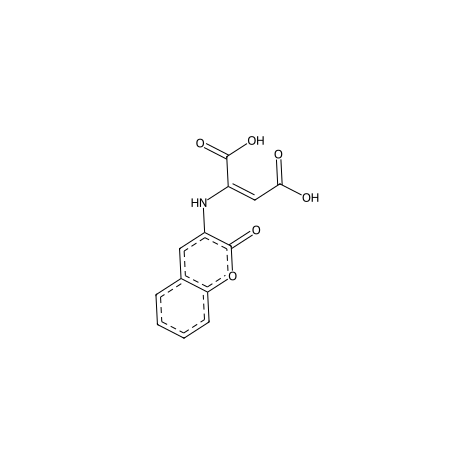 O=C(O)C=C(Nc1cc2ccccc2oc1=O)C(=O)O